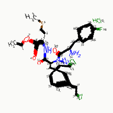 CCOC(=O)[C@H](CCSC)NC(=O)[C@H](CC1(CCCl)C=CC=C(CCCl)C1)N(N)C(=O)[C@@H](N)Cc1ccc(F)cc1.Cl